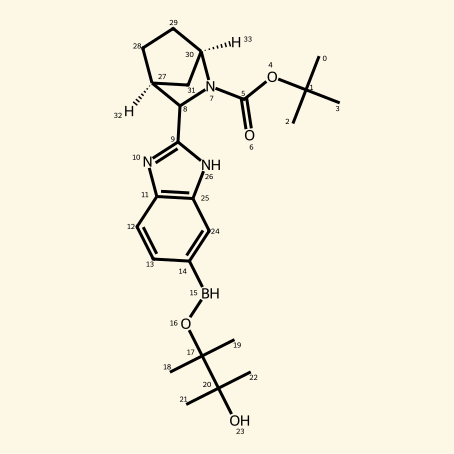 CC(C)(C)OC(=O)N1C(c2nc3ccc(BOC(C)(C)C(C)(C)O)cc3[nH]2)[C@H]2CC[C@@H]1C2